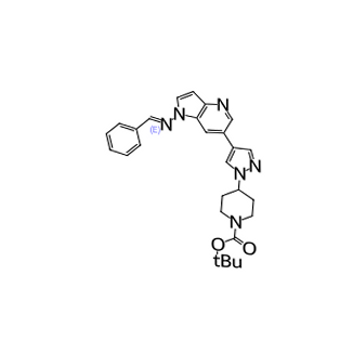 CC(C)(C)OC(=O)N1CCC(n2cc(-c3cnc4ccn(/N=C/c5ccccc5)c4c3)cn2)CC1